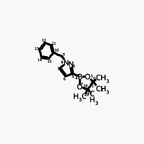 CC1(C)OB(c2ccn(Cc3ccccc3)n2)OC1(C)C